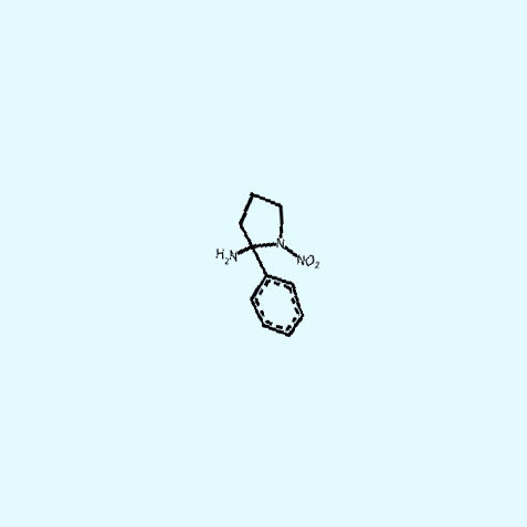 NC1(c2ccccc2)CCCN1[N+](=O)[O-]